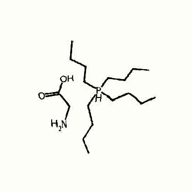 CCCC[PH](CCCC)(CCCC)CCCC.NCC(=O)O